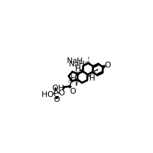 C[C@H]1C[C@H]2[C@@H]3CC[C@H](C(=O)COP(=O)(O)O)[C@@]3(C)CC[C@@H]2[C@@]2(C)C=CC(=O)C=C12.[NaH].[NaH]